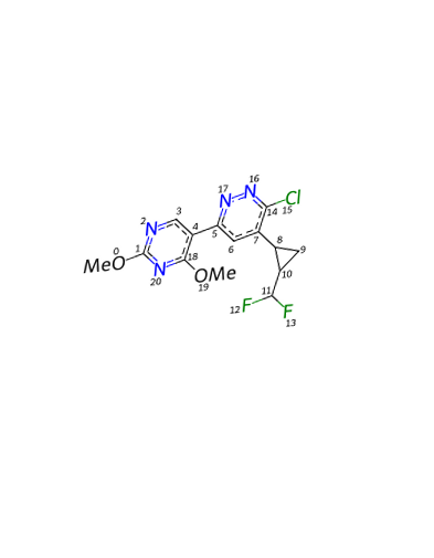 COc1ncc(-c2cc(C3CC3C(F)F)c(Cl)nn2)c(OC)n1